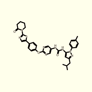 Cc1ccc(-n2nc(CC(C)C)cc2NC(=O)Nc2cnc(Oc3ccc(-c4cnc(N5CCCCC5=O)s4)cc3)nc2)cc1